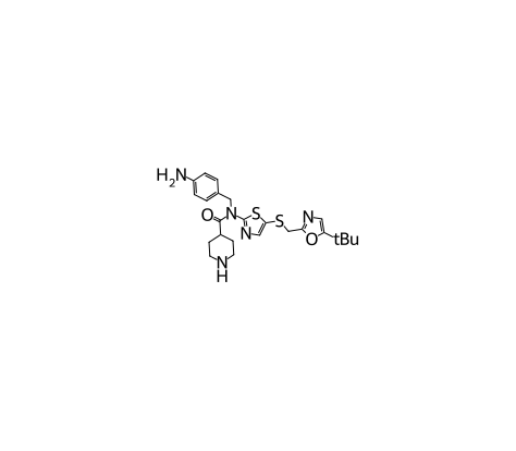 CC(C)(C)c1cnc(CSc2cnc(N(Cc3ccc(N)cc3)C(=O)C3CCNCC3)s2)o1